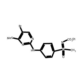 CCOC(=O)N=S(C)(=O)c1ccc(Nc2ncc(Br)c(SC)n2)cc1